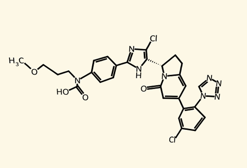 COCCCN(C(=O)O)c1ccc(-c2nc(Cl)c([C@@H]3CCc4cc(-c5cc(Cl)ccc5-n5cnnn5)cc(=O)n43)[nH]2)cc1